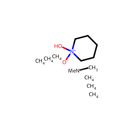 C.C.C.C.C.C.CNC.[O-][N+]1(O)CCCCC1